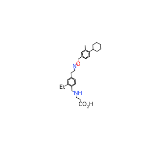 CCc1cc(CC=NOCc2ccc(C3CCCCC3)c(C)c2)ccc1CNCCC(=O)O